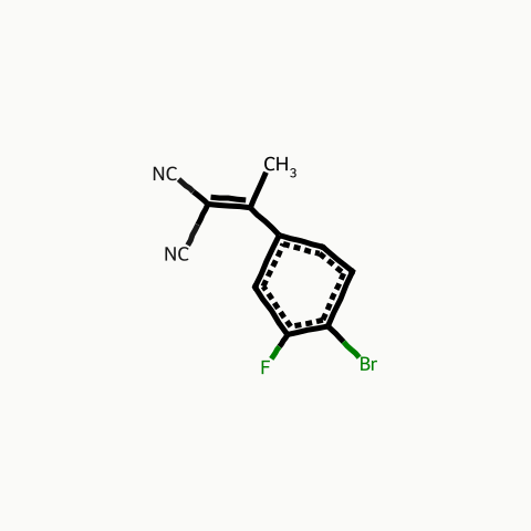 CC(=C(C#N)C#N)c1ccc(Br)c(F)c1